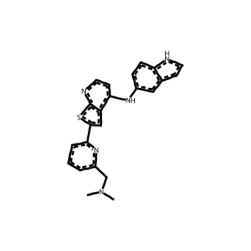 CN(C)Cc1cccc(-c2cc3c(Nc4ccc5[nH]ccc5c4)ccnc3s2)n1